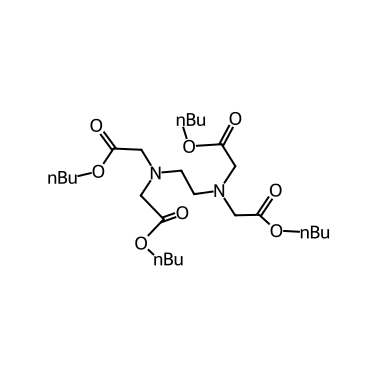 CCCCOC(=O)CN(CCN(CC(=O)OCCCC)CC(=O)OCCCC)CC(=O)OCCCC